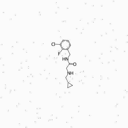 O=C(CNCC1CC1)NCc1cccc(Cl)c1F